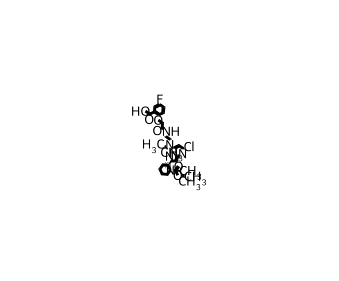 CC(C)N(CCNC(=O)COc1ccc(F)cc1C(=O)O)c1cc(Cl)nc2cc([C@@H]3CCCCN3C(=O)OC(C)(C)C)nn12